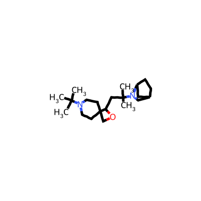 CC(C)(C)N1CCC2(CC1)COC2CC(C)(C)N1CC2CCC1C2